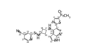 CC(=O)c1cnc(-c2cnc3[nH]ccc3c2N[C@H]2C[C@H](NSc3cc(C#N)ccn3)C2)s1